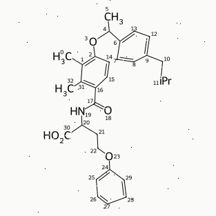 Cc1c(OC(C)c2ccc(CC(C)C)cc2)ccc(C(=O)NC(CCOc2ccccc2)C(=O)O)c1C